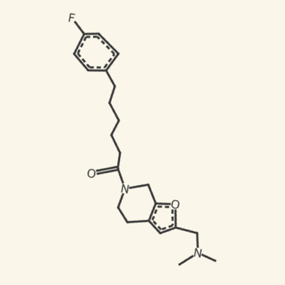 CN(C)Cc1cc2c(o1)CN(C(=O)CCCCCc1ccc(F)cc1)CC2